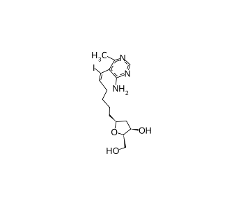 Cc1ncnc(N)c1/C(I)=C\CCCC[C@H]1C[C@@H](O)[C@@H](CO)O1